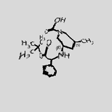 C[C@H]1C[C@@H](NC(C(=O)OC(C)(C)C)c2ccccc2)CN(C(=O)O)C1